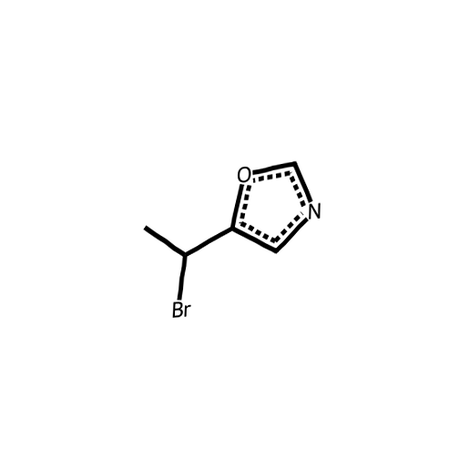 CC(Br)c1cnco1